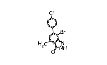 Cc1cc(-c2ccc(Cl)cc2)c(Br)c2n[nH]c(=O)n12